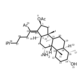 CC(=O)O[C@H]1C[C@@]2(C)[C@@H](C[C@@H](N)[C@H]3[C@@]4(C)CC[C@@H](O)[C@@H](C)[C@@H]4CC[C@@]32C)/C1=C(\CCCC(C)C)C(C)=O